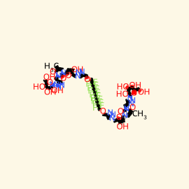 Cc1cn([C@H]2C[C@@H](O)C(Cn3cc(COCC(F)(F)C(F)(F)C(F)(F)C(F)(F)C(F)(F)C(F)(F)C(F)(F)C(F)(F)COCc4cn(CC5O[C@@H](n6cc(C)c(=O)n(Cc7cnnn7N7OC(CO)C(O)C(O)C7O)c6=O)C[C@H]5O)nn4)nn3)O2)c(=O)n(Cc2cn(C3OC(CO)C(O)C(O)C3O)nn2)c1=O